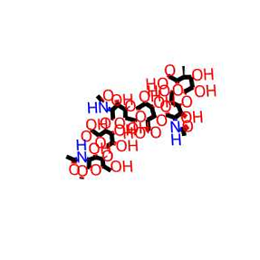 CO[C@H]1OC(CO)[C@@H](O[C@@H]2OC(C(=O)O)[C@@H](O[C@H]3OC(CO)[C@@H](O[C@@H]4OC(C(=O)O)[C@@H](O[C@H]5OC(CO)[C@@H](O[C@@H]6OC(C(=O)O)[C@@H](C)C(O)C6O)C(O)C5NC(C)=O)C(O)C4O)C(O)C3NC(C)=O)C(O)C2O)C(O)C1NC(C)=O